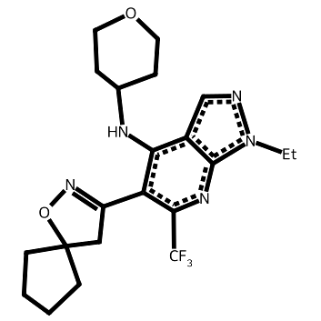 CCn1ncc2c(NC3CCOCC3)c(C3=NOC4(CCCC4)C3)c(C(F)(F)F)nc21